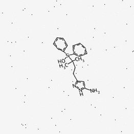 CC(C)(CCc1cc(N)[nH]n1)[Si](O)(c1ccccc1)c1ccccc1